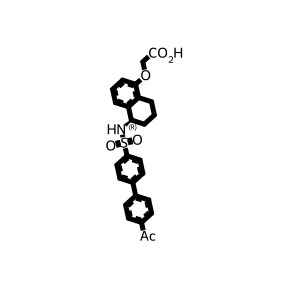 CC(=O)c1ccc(-c2ccc(S(=O)(=O)N[C@@H]3CCCc4c(OCC(=O)O)cccc43)cc2)cc1